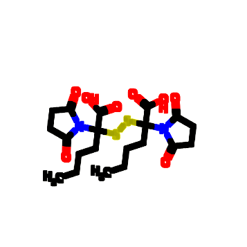 CCCCC(SSC(CCCC)(C(=O)O)N1C(=O)CCC1=O)(C(=O)O)N1C(=O)CCC1=O